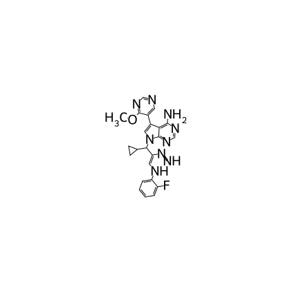 COc1ncncc1-c1cn(C(/C(=C/Nc2ccccc2F)N=N)C2CC2)c2ncnc(N)c12